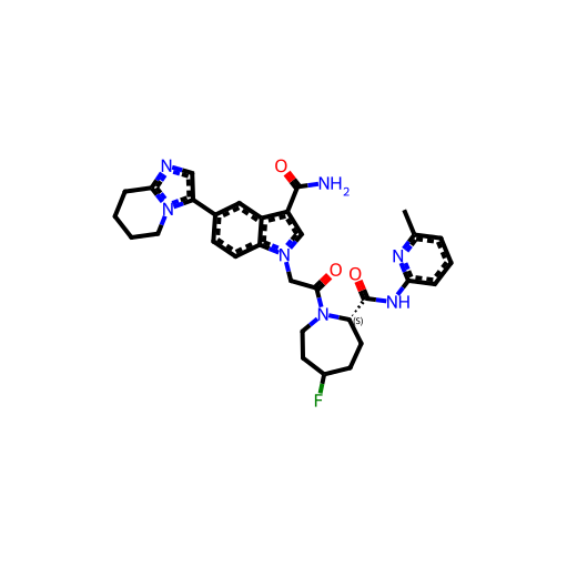 Cc1cccc(NC(=O)[C@@H]2CCC(F)CCN2C(=O)Cn2cc(C(N)=O)c3cc(-c4cnc5n4CCCC5)ccc32)n1